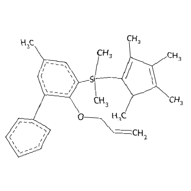 C=CCOc1c(-c2ccccc2)cc(C)cc1[Si](C)(C)C1=C(C)C(C)=C(C)C1C